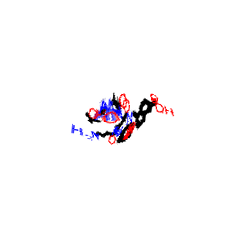 COc1ccc2cc(C(=O)O)ccc2c1CN1C(=O)[C@@H](NC(=O)[C@H](C)N(C)C(=O)OC(C)(C)C)CN(C(=O)CCCN)c2ccccc21